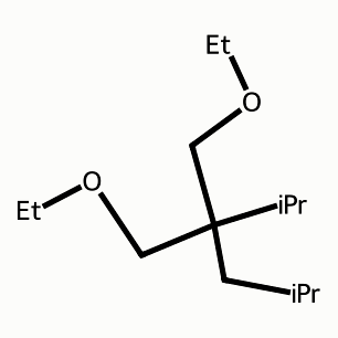 CCOCC(COCC)(CC(C)C)C(C)C